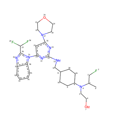 CC(CF)N(CCO)C1CCC(CNc2nc(N3CCOCC3)cc(-n3c(C(F)F)nc4ccccc43)n2)CC1